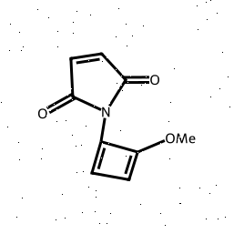 COC1=CC=C1N1C(=O)C=CC1=O